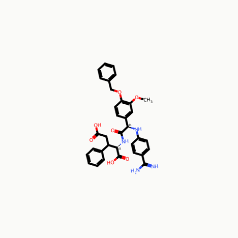 COc1cc([C@@H](Nc2ccc(C(=N)N)cc2)C(=O)N[C@H](C(=O)O)C(CC(=O)O)c2ccccc2)ccc1OCc1ccccc1